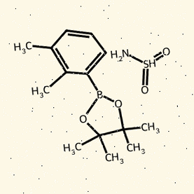 Cc1cccc(B2OC(C)(C)C(C)(C)O2)c1C.N[SH](=O)=O